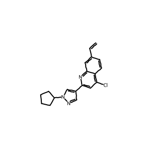 C=Cc1ccc2c(Cl)cc(-c3cnn(C4CCCC4)c3)nc2c1